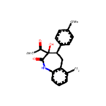 COC(=O)C1(O)C(=O)Nc2cccc(C(F)(F)F)c2CC1c1ccc(OC)cc1